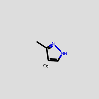 Cc1cc[nH]n1.[Co]